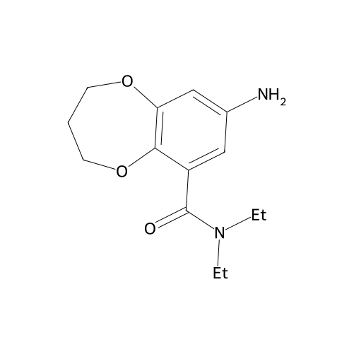 CCN(CC)C(=O)c1cc(N)cc2c1OCCCO2